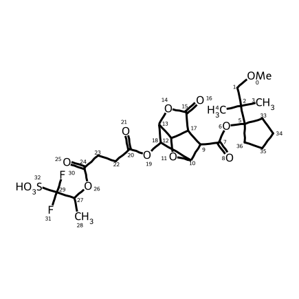 COCC(C)(C)C1(OC(=O)C2C3OC4C(OC(=O)C42)C3OC(=O)CCC(=O)OC(C)C(F)(F)S(=O)(=O)O)CCCC1